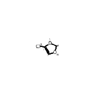 ClC1=COCO1